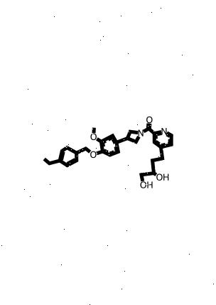 CCC1=CCC(COc2ccc(C3CN(C(=O)c4cc(CCC(O)CO)ccn4)C3)cc2OC)C=C1